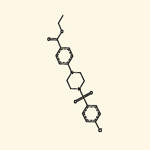 CCOC(=O)c1ccc(N2CCN(S(=O)(=O)c3ccc(Cl)cc3)CC2)cc1